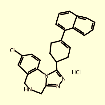 Cl.Clc1ccc2c(c1)CNCc1nnc(C3CC=C(c4cccc5ccccc45)CC3)n1-2